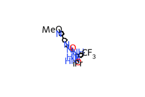 COc1ccc(C2CCC(N3CC(NC(=O)CNc4nn(C(=O)NC(C)C)c5ccc(C(F)(F)F)cc45)C3)CC2)cn1